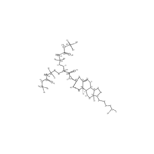 CC(C)CCCCC1CCC2C3CC=C4CC(OC(=O)N(CCC(C)(C)NC(=O)OC(C)(C)C)CCC(C)(C)NC(=O)OC(C)(C)C)CCC4(C)C3CCC12C